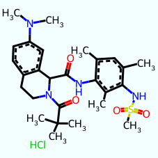 Cc1cc(C)c(NS(C)(=O)=O)c(C)c1NC(=O)C1c2cc(N(C)C)ccc2CCN1C(=O)C(C)(C)C.Cl